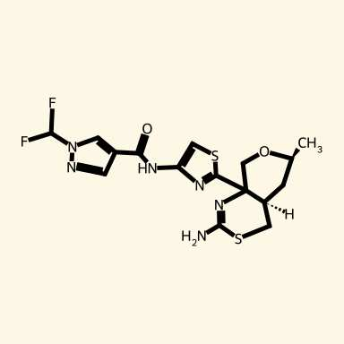 C[C@H]1C[C@H]2CSC(N)=NC2(c2nc(NC(=O)c3cnn(C(F)F)c3)cs2)CO1